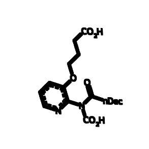 CCCCCCCCCCC(=O)N(C(=O)O)c1ncccc1OCCCC(=O)O